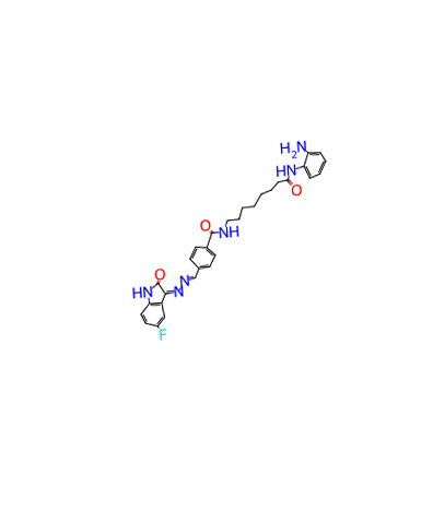 Nc1ccccc1NC(=O)CCCCCCCNC(=O)c1ccc(C=NN=C2C(=O)Nc3ccc(F)cc32)cc1